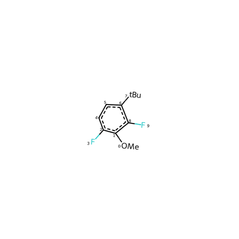 COc1c(F)ccc(C(C)(C)C)c1F